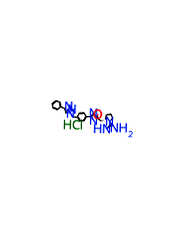 Cl.N=C(N)N1CCC[C@H]1Cc1nc(-c2ccc(Cn3cc(-c4ccccc4)nn3)cc2)no1